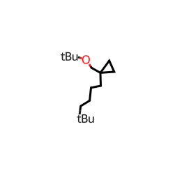 CC(C)(C)CCCCC1(COC(C)(C)C)CC1